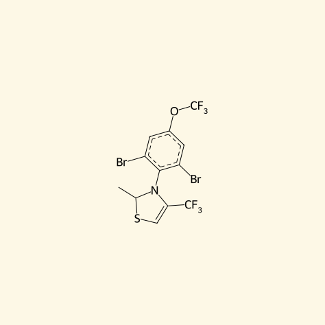 CC1SC=C(C(F)(F)F)N1c1c(Br)cc(OC(F)(F)F)cc1Br